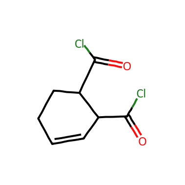 O=C(Cl)C1C=CCCC1C(=O)Cl